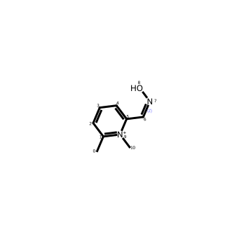 Cc1cccc(/C=N\O)[n+]1C